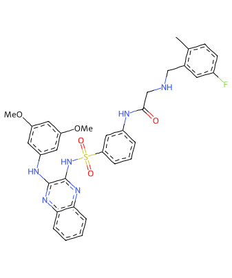 COc1cc(Nc2nc3ccccc3nc2NS(=O)(=O)c2cccc(NC(=O)CNCc3cc(F)ccc3C)c2)cc(OC)c1